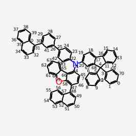 c1ccc(C2(c3ccccc3)c3ccccc3-c3ccc(N(c4ccc(-c5cccc(-c6cccc7ccccc67)c5)cc4)c4ccc(-c5cccc6ccccc56)c5oc6ccccc6c45)cc32)cc1